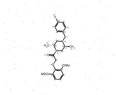 COc1cccc(OC)c1OCC(=O)N1C[C@H](C)N(Cc2ccc(F)cc2)C[C@H]1C